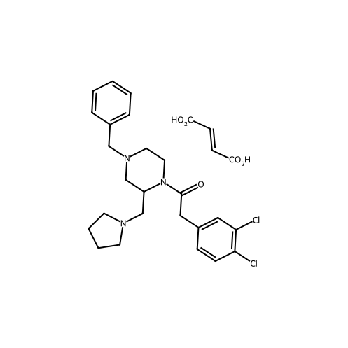 O=C(Cc1ccc(Cl)c(Cl)c1)N1CCN(Cc2ccccc2)CC1CN1CCCC1.O=C(O)C=CC(=O)O